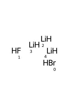 Br.F.[LiH].[LiH].[LiH]